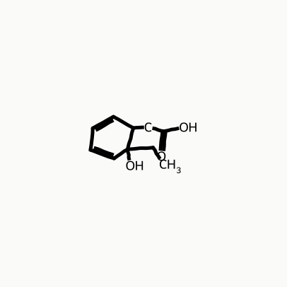 CCC1(O)C=CC=CC1CC(=O)O